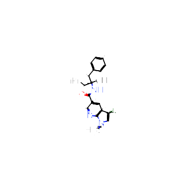 CC(C)CC(C)(Cc1ccccc1)NC(=O)c1cnc2c(c1)c(Cl)cn2C